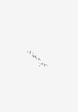 C[C@@]1(C#N)COCc2ccc(C(=O)NCc3cc4nc(-c5cnc(N6CCC6)cn5)ccc4cn3)cc21